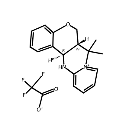 CC1(C)[C@H]2COc3ccccc3[C@@H]2Nc2cccc[n+]21.O=C([O-])C(F)(F)F